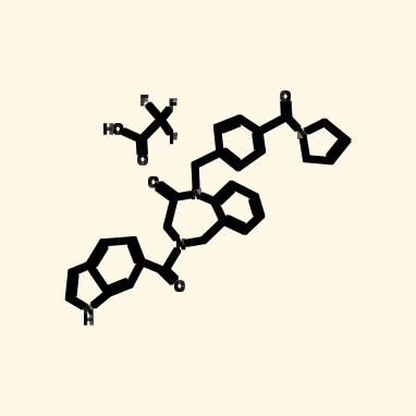 O=C(O)C(F)(F)F.O=C(c1ccc(CN2C(=O)CN(C(=O)c3ccc4cc[nH]c4c3)Cc3ccccc32)cc1)N1CC=CC1